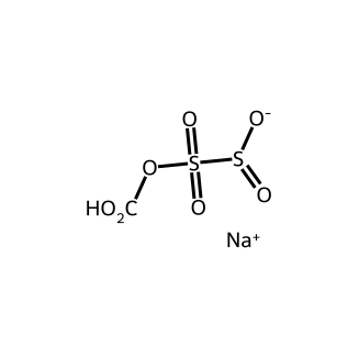 O=C(O)OS(=O)(=O)S(=O)[O-].[Na+]